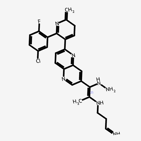 C=C1CC=C(c2ccc3ncc(/C(NN)=C(\C)NCCC=N)cc3n2)C(c2cc(Cl)ccc2F)=N1